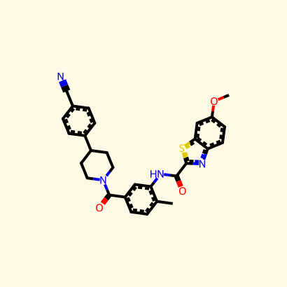 COc1ccc2nc(C(=O)Nc3cc(C(=O)N4CCC(c5ccc(C#N)cc5)CC4)ccc3C)sc2c1